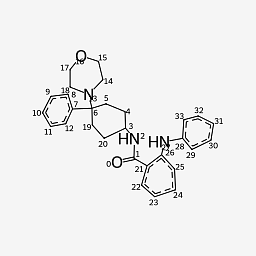 O=C(NC1CCC(c2ccccc2)(N2CCOCC2)CC1)c1ccccc1Nc1ccccc1